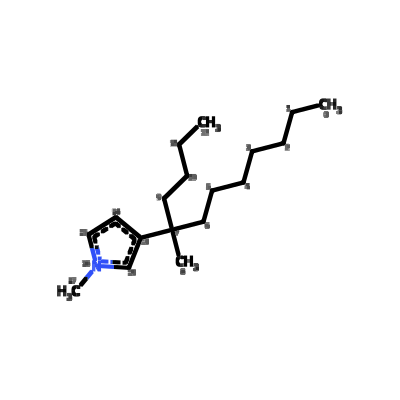 CCCCCCCC(C)(CCCC)c1ccn(C)c1